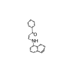 O=C(/C=C\Nc1cccc2c#cccc12)c1ccccc1